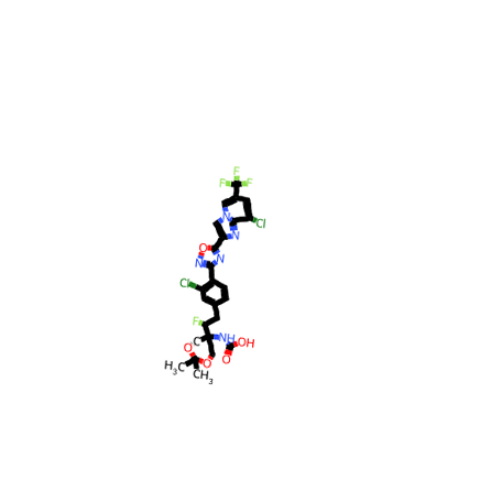 CC1(C)OCC(NC(=O)O)(C(F)Cc2ccc(-c3noc(-c4cn5cc(C(F)(F)F)cc(Cl)c5n4)n3)c(Cl)c2)CO1